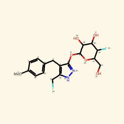 COc1ccc(Cc2c(OC3OC(CO)C(F)C(O)C3O)n[nH]c2CF)cc1